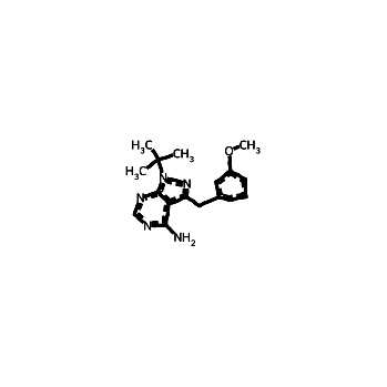 COc1cccc(Cc2nn(C(C)(C)C)c3ncnc(N)c23)c1